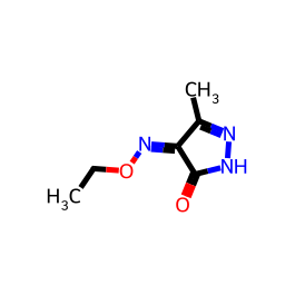 CCON=C1C(=O)NN=C1C